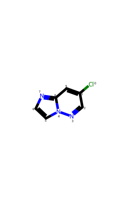 Clc1cnn2c[c]nc2c1